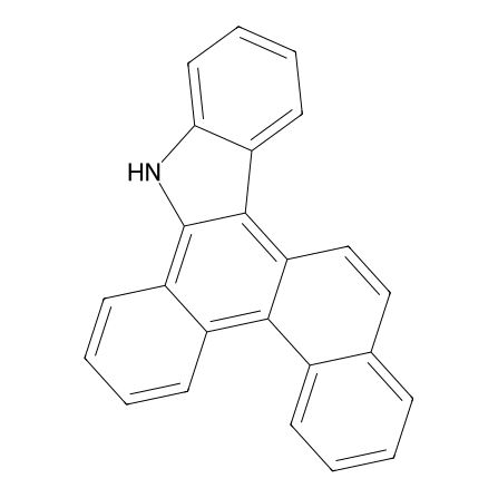 c1ccc2c(c1)ccc1c2c2ccccc2c2[nH]c3ccccc3c12